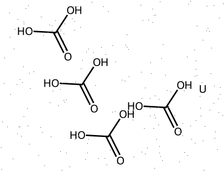 O=C(O)O.O=C(O)O.O=C(O)O.O=C(O)O.[U]